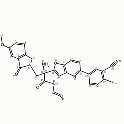 COc1ccc2c(c1)C(=O)N(C[C@@](N)(C(=O)NC=O)c1cc3nc(-c4ccc(F)c(C#N)c4)ccc3o1)C2